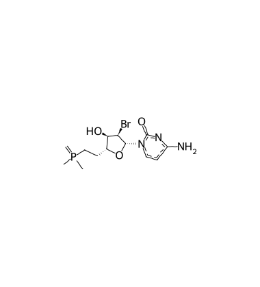 C=P(C)(C)CC[C@H]1O[C@@H](n2ccc(N)nc2=O)[C@H](Br)[C@@H]1O